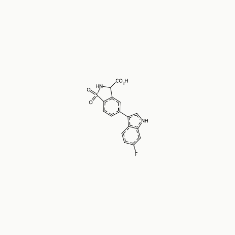 O=C(O)C1NS(=O)(=O)c2ccc(-c3c[nH]c4cc(F)ccc34)cc21